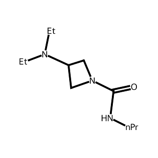 CCCNC(=O)N1CC(N(CC)CC)C1